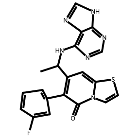 CC(Nc1ncnc2[nH]cnc12)c1cc2sccn2c(=O)c1-c1cccc(F)c1